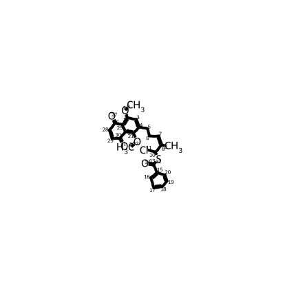 COc1cc(CCC=C(C)C(Cl)SC(=O)c2ccccc2)c(OC)c2c1C(=O)C=CC2=O